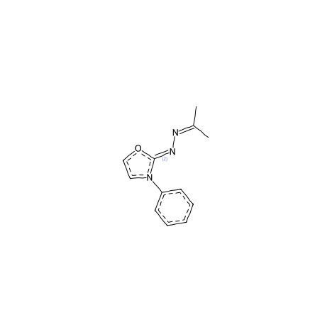 CC(C)=N/N=c1\occn1-c1ccccc1